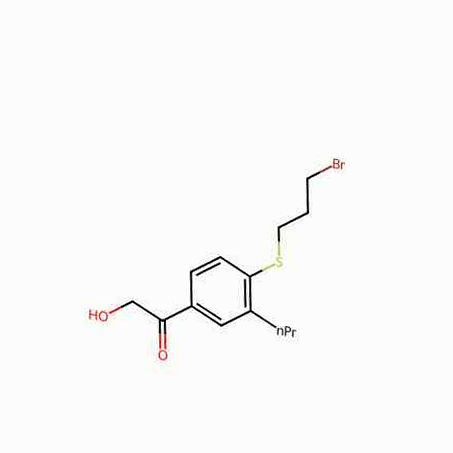 CCCc1cc(C(=O)CO)ccc1SCCCBr